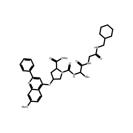 COC(=O)C1CC(Oc2cc(-c3ccccc3)nc3cc(OC)ccc23)CN1C(=O)NC(C(=O)NCC(=O)NCC1CCCCC1)C(C)(C)C